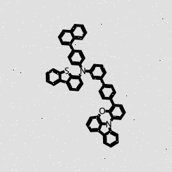 c1cc(-c2ccc(-c3cccc4c3Oc3cccc5c6ccccc6n-4c35)cc2)cc(N(c2ccc(-c3cccc4ccccc34)cc2)c2cccc3c2sc2ccccc23)c1